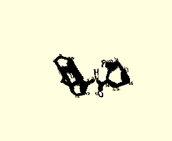 O=C(NC1C2C3CC4C5CC(C42)C1C53)c1ccccc1F